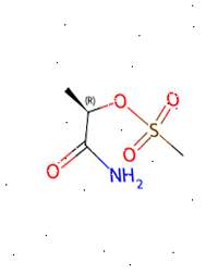 C[C@@H](OS(C)(=O)=O)C(N)=O